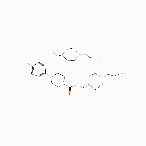 COCCN1CCC(CO)CC1.COCCN1CCC(COC(=O)N2CCN(c3ccc(OC)cc3)CC2)CC1